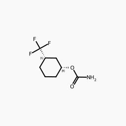 NC(=O)O[C@@H]1CCC[C@H](C(F)(F)F)C1